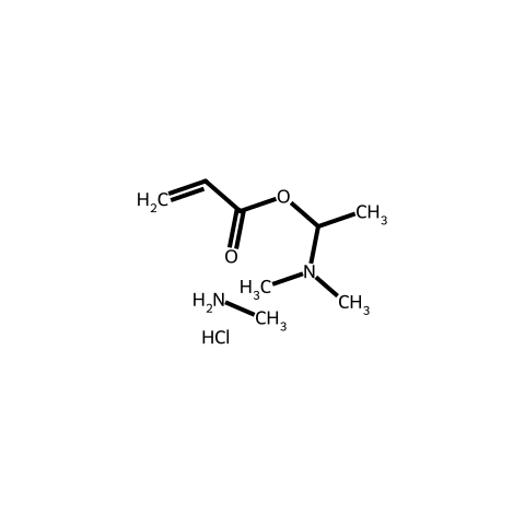 C=CC(=O)OC(C)N(C)C.CN.Cl